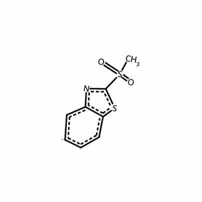 CS(=O)(=O)c1nc2c[c]ccc2s1